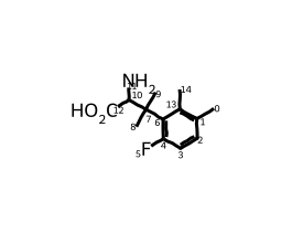 Cc1ccc(F)c(C(C)(C)C(N)C(=O)O)c1C